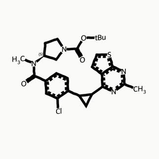 Cc1nc(C2CC2c2ccc(C(=O)N(C)[C@H]3CCN(C(=O)OC(C)(C)C)C3)cc2Cl)c2ccsc2n1